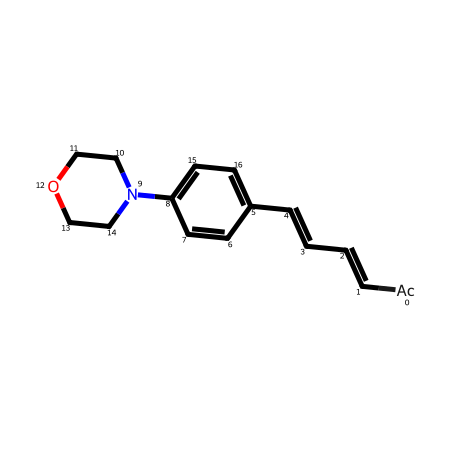 CC(=O)/C=C/C=C/c1ccc(N2CCOCC2)cc1